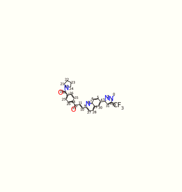 Cn1nc(-c2ccc3nc(C=CC(=O)c4ccc(C(=O)N5CCCC5)cc4)ccc3c2)cc1C(F)(F)F